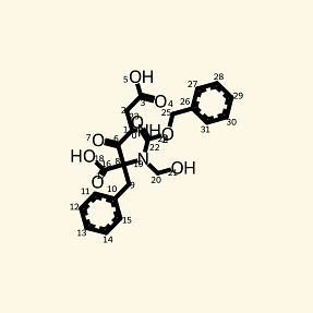 NC(CC(=O)O)C(=O)C(Cc1ccccc1)(C(=O)O)N(CO)C(=O)OCc1ccccc1